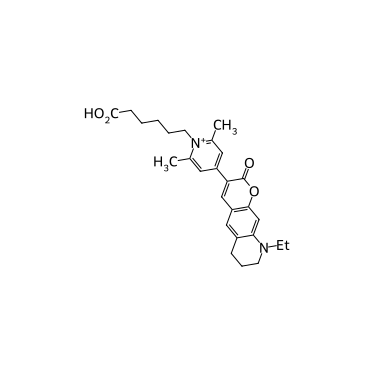 CCN1CCCc2cc3cc(-c4cc(C)[n+](CCCCCC(=O)O)c(C)c4)c(=O)oc3cc21